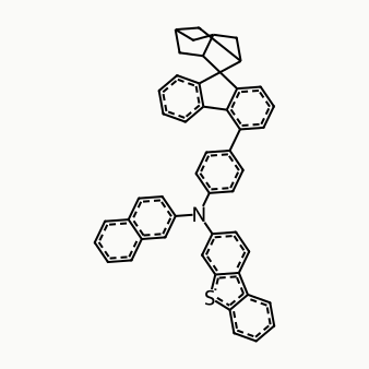 c1ccc2c(c1)-c1c(-c3ccc(N(c4ccc5ccccc5c4)c4ccc5c(c4)sc4ccccc45)cc3)cccc1C21C2CC3CC(C2)C1C3